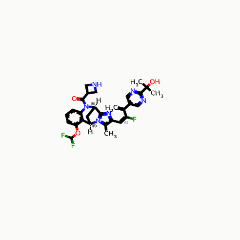 C=C(/C(F)=C\c1nc2n(c1C)[C@@H]1C[C@H]2N(C(=O)C2CNC2)c2cccc(OC(F)F)c21)c1cnc(C(C)(C)O)nc1